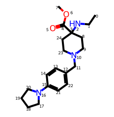 CCNC1(C(=O)OC)CCN(Cc2ccc(N3CCCC3)cc2)CC1